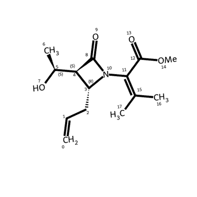 C=CC[C@@H]1[C@@H]([C@H](C)O)C(=O)N1C(C(=O)OC)=C(C)C